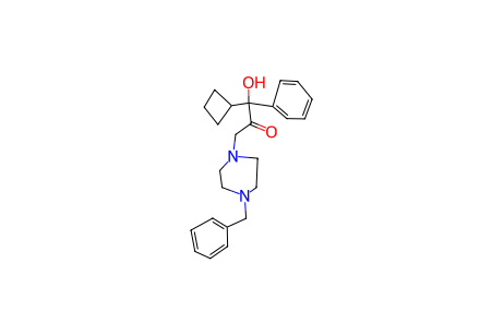 O=C(CN1CCN(Cc2ccccc2)CC1)C(O)(c1ccccc1)C1CCC1